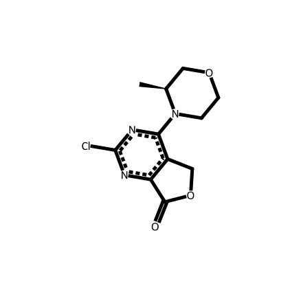 C[C@H]1COCCN1c1nc(Cl)nc2c1COC2=O